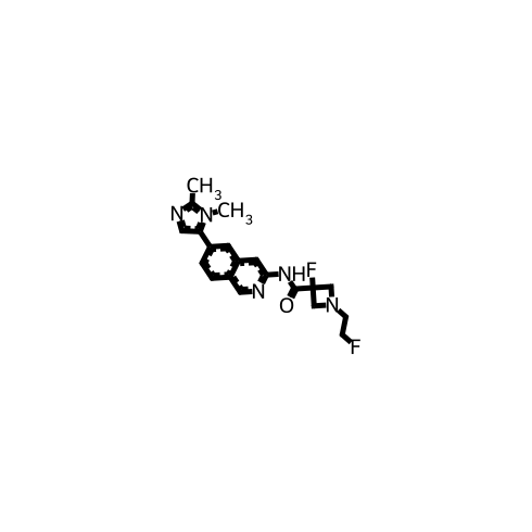 Cc1ncc(-c2ccc3cnc(NC(=O)C4(F)CN(CCF)C4)cc3c2)n1C